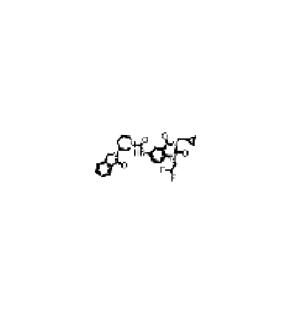 O=C(Nc1ccc2c(c1)c(=O)n(CC1CC1)c(=O)n2CC(F)F)N1CCC[C@@H](N2Cc3ccccc3C2=O)C1